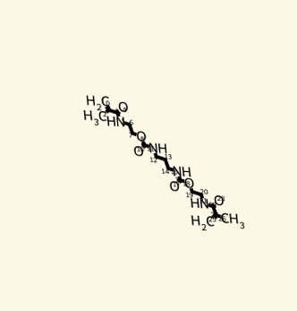 C=C(C)C(=O)NCCOC(=O)NCCCNC(=O)OCCNC(=O)C(=C)C